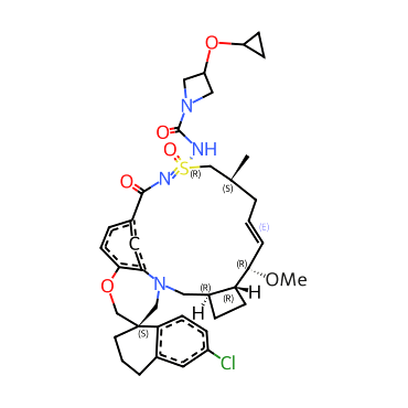 CO[C@H]1/C=C/C[C@H](C)C[S@@](=O)(NC(=O)N2CC(OC3CC3)C2)=NC(=O)c2ccc3c(c2)N(C[C@@H]2CC[C@H]21)C[C@@]1(CCCc2cc(Cl)ccc21)CO3